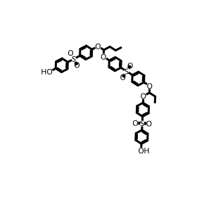 CCCC(Oc1ccc(S(=O)(=O)c2ccc(O)cc2)cc1)Oc1ccc(S(=O)(=O)c2ccc(OC(CC)Oc3ccc(S(=O)(=O)c4ccc(O)cc4)cc3)cc2)cc1